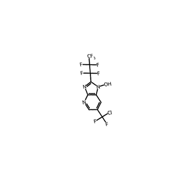 On1c(C(F)(F)C(F)(F)C(F)(F)F)nc2ncc(C(F)(F)Cl)cc21